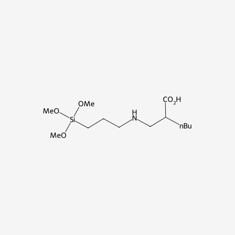 CCCCC(CNCCC[Si](OC)(OC)OC)C(=O)O